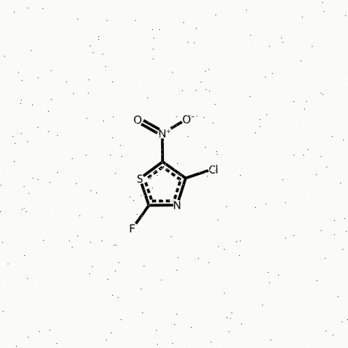 O=[N+]([O-])c1sc(F)nc1Cl